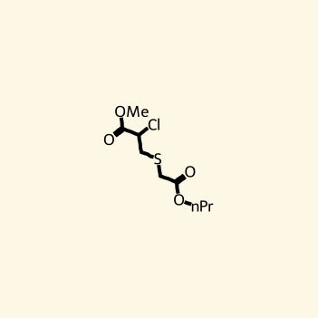 CCCOC(=O)CSCC(Cl)C(=O)OC